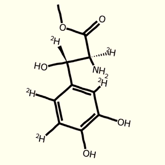 [2H]c1c([2H])c([C@]([2H])(O)[C@]([2H])(N)C(=O)OC)c([2H])c(O)c1O